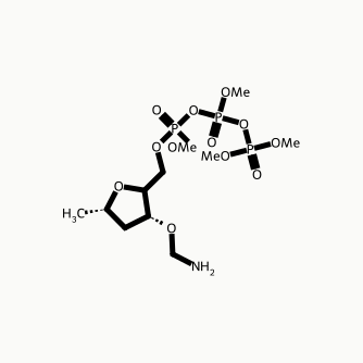 COP(=O)(OC)OP(=O)(OC)OP(=O)(OC)OCC1O[C@@H](C)C[C@H]1OCN